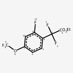 CCOC(=O)C(F)(F)c1ccc(OC(F)(F)F)cc1F